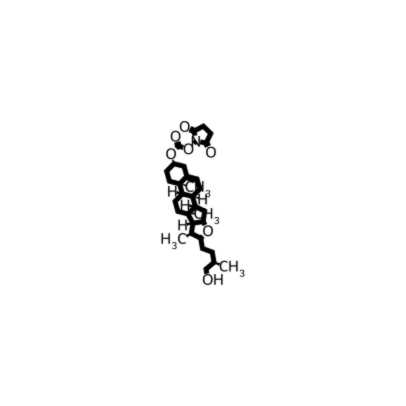 C[C@@H](CO)CCC1OC2C[C@H]3[C@@H]4CC=C5C[C@@H](OC(=O)ON6C(=O)CCC6=O)CC[C@]5(C)[C@H]4CC[C@]3(C)[C@H]2[C@@H]1C